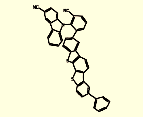 N#Cc1ccc2c(c1)c1ccccc1n2-c1c(C#N)cccc1-c1ccc2sc3c(ccc4c5cc(-c6ccccc6)ccc5sc43)c2c1